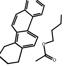 CCCCOC(C)=O.c1ccc2c(c1)ccc1c3c(ccc12)CCCC3